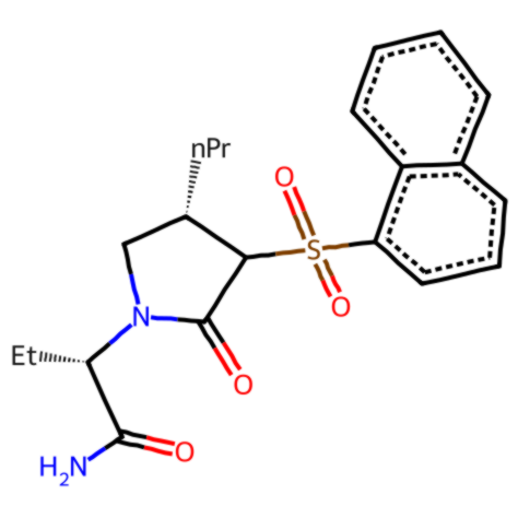 CCC[C@H]1CN([C@@H](CC)C(N)=O)C(=O)C1S(=O)(=O)c1cccc2ccccc12